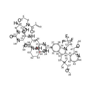 C=CC(=O)N1CCO[C@H]2CN(C(=O)N(C)[C@H](C(=O)N[C@@H](Cc3cccc(-c4ccc5c(c4)c(CC(C)(C)COC)c(-c4cccnc4[C@H](C)OC)n5CC(F)(F)F)n3)C(=O)N3CCC[C@@H](O)N3)C(C)C)C[C@H]21